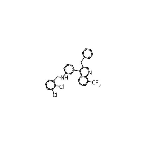 FC(F)(F)c1cccc2c(-c3cccc(NCc4cccc(Cl)c4Cl)c3)c(Cc3ccccc3)cnc12